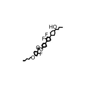 C=CCCCOc1ccc(C(=O)Oc2ccc(-c3ccc(C4CCC(C(O)CCC)CC4)c(F)c3F)cc2)c(F)c1